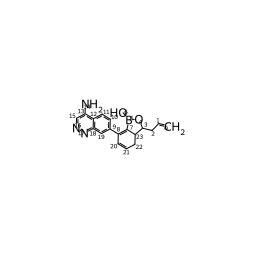 C=CCC1OB(O)C2=C(c3ccc4c(N)cnnc4c3)C=CCC21